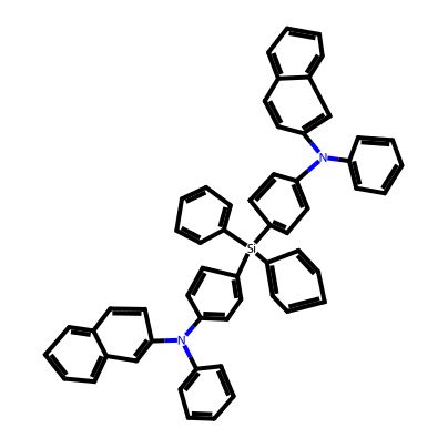 c1ccc(N(c2ccc([Si](c3ccccc3)(c3ccccc3)c3ccc(N(c4ccccc4)c4ccc5ccccc5c4)cc3)cc2)c2ccc3ccccc3c2)cc1